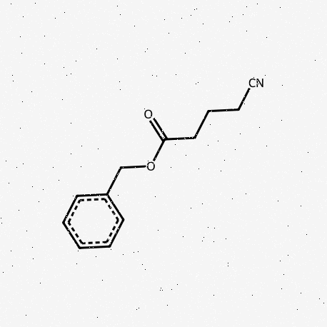 N#CCCCC(=O)OCc1ccccc1